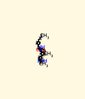 CCCCCc1ccc(CNC(=O)N2CCOc3c(C)cc(-c4ccc5nc(C)[nH]c5c4)cc3C2)cc1